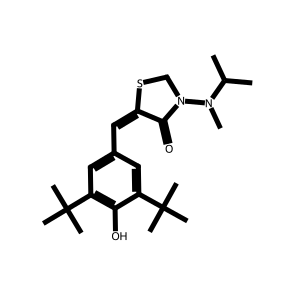 CC(C)N(C)N1CSC(=Cc2cc(C(C)(C)C)c(O)c(C(C)(C)C)c2)C1=O